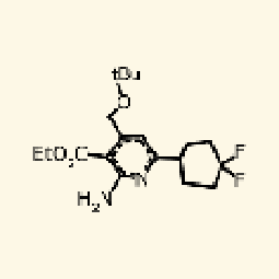 CCOC(=O)c1c(COC(C)(C)C)cc(C2CCC(F)(F)CC2)nc1N